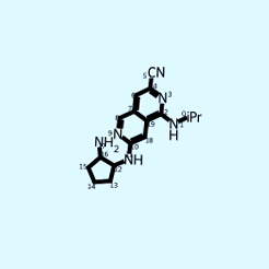 CC(C)Nc1nc(C#N)cc2cnc(NC3CCCC3N)cc12